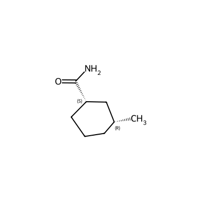 C[C@@H]1CCC[C@H](C(N)=O)C1